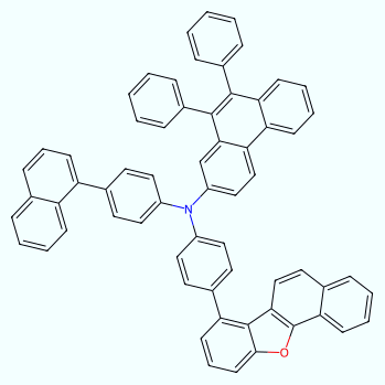 c1ccc(-c2c(-c3ccccc3)c3cc(N(c4ccc(-c5cccc6ccccc56)cc4)c4ccc(-c5cccc6oc7c8ccccc8ccc7c56)cc4)ccc3c3ccccc23)cc1